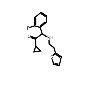 O=C(C1CC1)C(NCCc1cccs1)c1ccccc1F